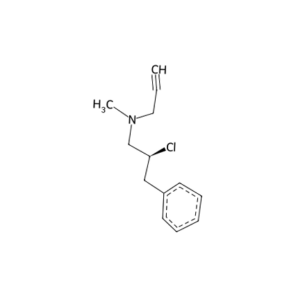 C#CCN(C)C[C@@H](Cl)Cc1ccccc1